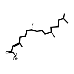 C/C(=C\C(=O)OO)CCC[C@H](C)CCC[C@H](C)CCCC(C)C